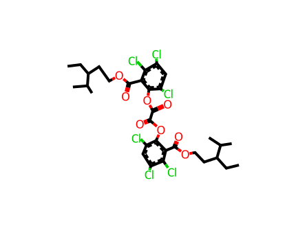 CCC(CCOC(=O)c1c(Cl)c(Cl)cc(Cl)c1OC(=O)C(=O)Oc1c(Cl)cc(Cl)c(Cl)c1C(=O)OCCC(CC)C(C)C)C(C)C